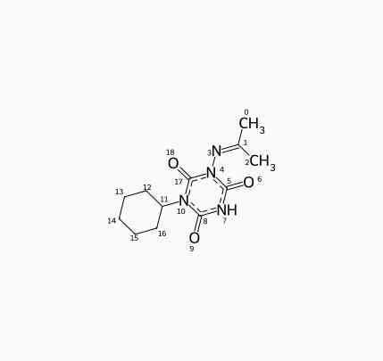 CC(C)=Nn1c(=O)[nH]c(=O)n(C2CCCCC2)c1=O